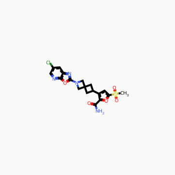 CS(=O)(=O)c1cc(C2CC3(C2)CN(c2nc4cc(Cl)cnc4o2)C3)c(C(N)=O)o1